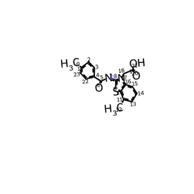 Cc1ccc(C(=O)/N=c2\sc3c(C)cccc3n2CC(=O)O)cc1